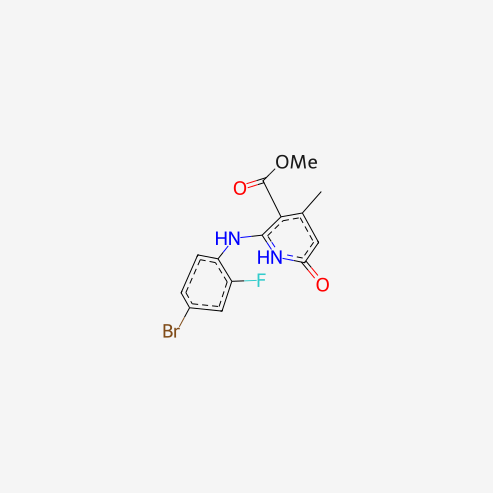 COC(=O)c1c(C)cc(=O)[nH]c1Nc1ccc(Br)cc1F